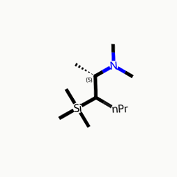 CCCC([C@H](C)N(C)C)[Si](C)(C)C